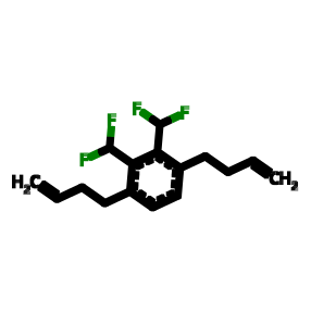 C=CCCc1ccc(CCC=C)c(C(F)F)c1C(F)F